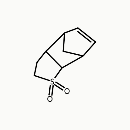 O=S1(=O)CCC2C3C=CC(C3)C21